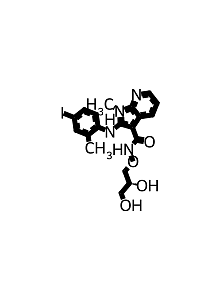 Cc1cc(I)ccc1Nc1c(C(=O)NOC[C@H](O)CO)c2cccnc2n1C